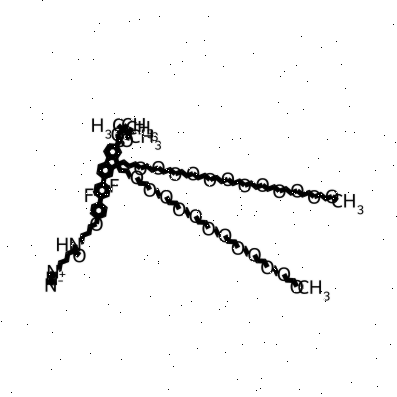 COCCOCCOCCOCCOCCOCCOCCOCCOCCOCCOCCOCCCC1(CCCOCCOCCOCCOCCOCCOCCOCCOCCOCCOCCOCCOC)c2cc(B3OC(C)(C)C(C)(C)O3)ccc2-c2ccc(-c3cc(F)c(-c4ccc(OCCCCNC(=O)CCCCN=[N+]=[N-])cc4)cc3F)cc21